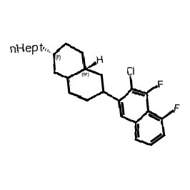 CCCCCCC[C@@H]1CC[C@@H]2CC(c3cc4cccc(F)c4c(F)c3Cl)CCC2C1